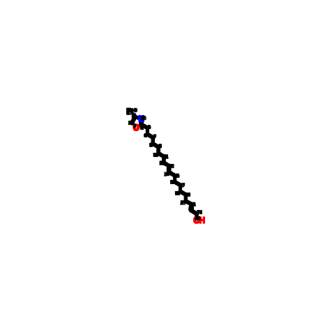 CCC1COC(CCCCCCCCC=CCCCCCCCCCO)=N1